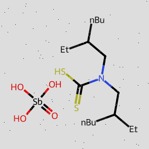 CCCCC(CC)CN(CC(CC)CCCC)C(=S)S.[O]=[Sb]([OH])([OH])[OH]